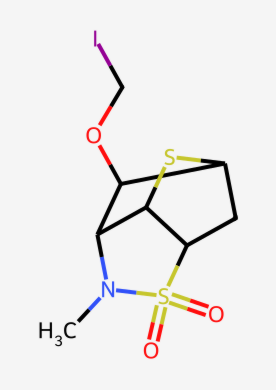 CN1C2C(OCI)C3CC(C2S3)S1(=O)=O